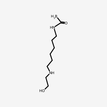 BC(=O)NCCCCCCNCCO